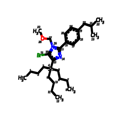 CCC[CH2][Sn]([CH2]CCC)([CH2]CCC)[c]1nc(-c2ccc(CC(C)C)cc2)n(COC)c1Br